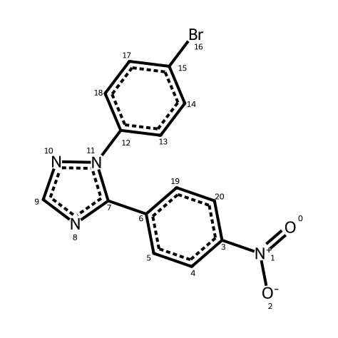 O=[N+]([O-])c1ccc(-c2ncnn2-c2ccc(Br)cc2)cc1